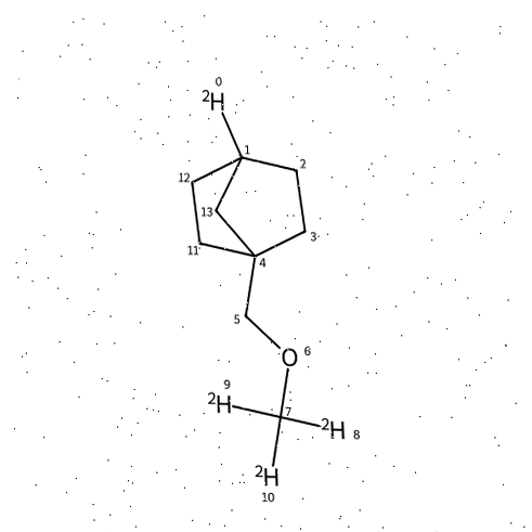 [2H]C12CCC(COC([2H])([2H])[2H])(CC1)C2